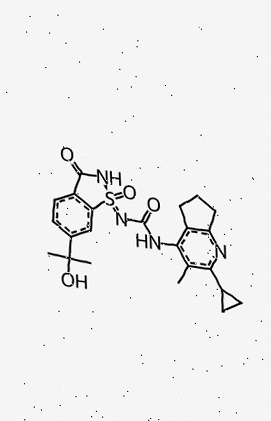 Cc1c(C2CC2)nc2c(c1NC(=O)N=[S@]1(=O)NC(=O)c3ccc(C(C)(C)O)cc31)CCC2